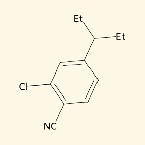 CCC(CC)c1ccc(C#N)c(Cl)c1